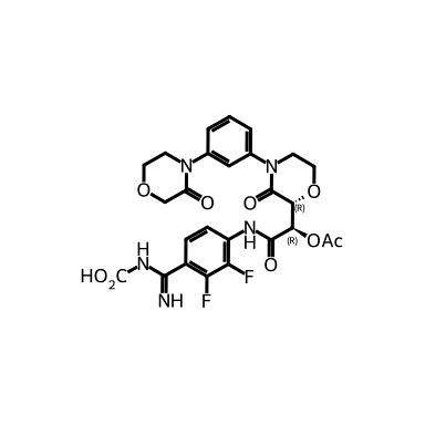 CC(=O)O[C@@H](C(=O)Nc1ccc(C(=N)NC(=O)O)c(F)c1F)[C@H]1OCCN(c2cccc(N3CCOCC3=O)c2)C1=O